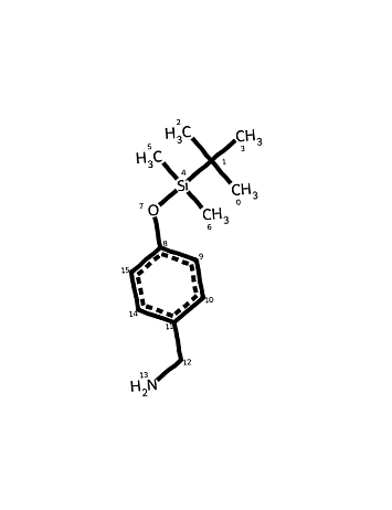 CC(C)(C)[Si](C)(C)Oc1ccc(CN)cc1